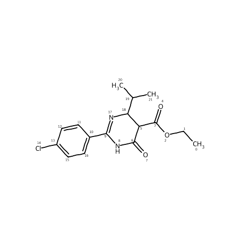 CCOC(=O)C1C(=O)NC(c2ccc(Cl)cc2)=NC1C(C)C